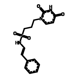 O=c1ccn(CCCS(=O)(=O)NC=Cc2ccccc2)c(=O)[nH]1